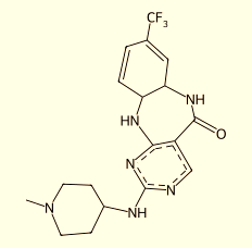 CN1CCC(Nc2ncc3c(n2)NC2C=CC(C(F)(F)F)=CC2NC3=O)CC1